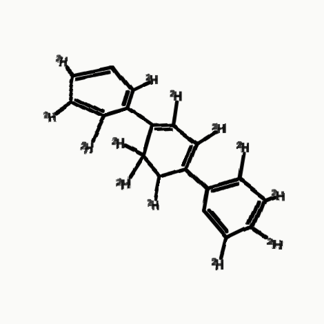 [2H]C1=C(c2cc([2H])c([2H])c([2H])c2[2H])C([2H])C([2H])([2H])C(c2c([2H])cc([2H])c([2H])c2[2H])=C1[2H]